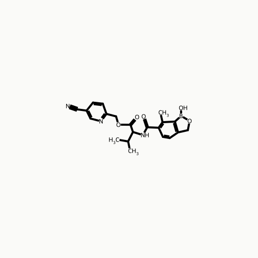 Cc1c(C(=O)NC(C(=O)OCc2ccc(C#N)cn2)C(C)C)ccc2c1B(O)OC2